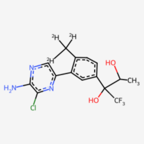 [2H]C([2H])([2H])c1ccc(C(O)(C(C)O)C(F)(F)F)cc1-c1cnc(N)c(Cl)n1